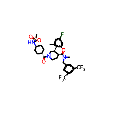 Cc1cc(F)ccc1[C@@H]1CN(C(=O)[C@H]2CC[C@H](NS(C)(=O)=O)CC2)CC[C@H]1C(=O)N(C)Cc1cc(C(F)(F)F)cc(C(F)(F)F)c1